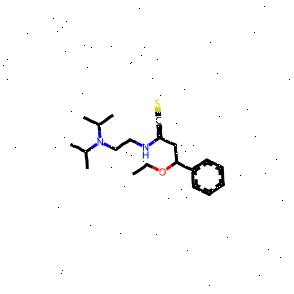 CCOC(CC(=C=S)NCCN(C(C)C)C(C)C)c1ccccc1